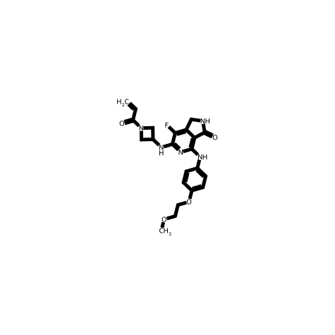 C=CC(=O)N1CC(Nc2nc(Nc3ccc(OCCOC)cc3)c3c(c2F)CNC3=O)C1